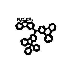 CC1(C)c2ccccc2-c2cc(N(c3ccc4c(c3)-c3ccccc3C3C=CCCC43)c3ccc4c(c3)-c3ccccc3C4(c3ccccc3)c3ccccc3)ccc21